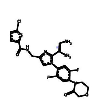 N/C=C(\N)c1nc(CNC(=O)c2ccc(Cl)s2)cn1-c1cc(F)c(N2CCOCC2=O)cc1F